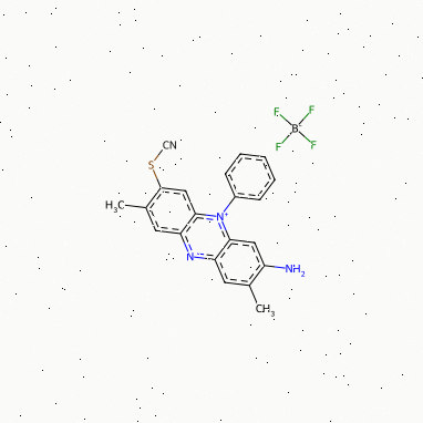 Cc1cc2nc3cc(C)c(SC#N)cc3[n+](-c3ccccc3)c2cc1N.F[B-](F)(F)F